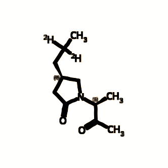 [2H]C([2H])(C)C[C@@H]1CC(=O)N([C@@H](C)C(C)=O)C1